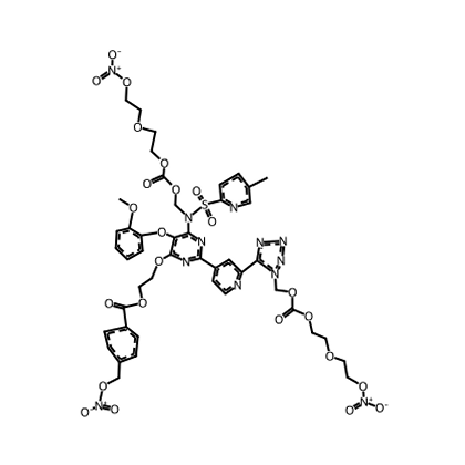 COc1ccccc1Oc1c(OCCOC(=O)c2ccc(CO[N+](=O)[O-])cc2)nc(-c2ccnc(-c3nnnn3COC(=O)OCCOCCO[N+](=O)[O-])c2)nc1N(COC(=O)OCCOCCO[N+](=O)[O-])S(=O)(=O)c1ccc(C)cn1